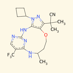 CC1CCOc2c(C(C)(C)C#N)nn(C3CCC3)c2Nc2ncc(C(F)(F)F)c(n2)N1